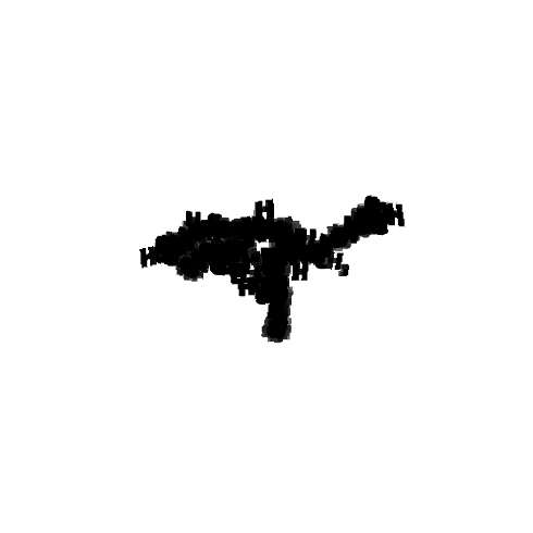 Cc1cc(Cc2nc(Cc3ccc(N=Nc4ccc(N=Nc5ccccc5)cc4S(=O)(=O)O)c(C)c3)nc(Nc3ccc(Nc4nc(Nc5ccc(N=Nc6ccc(N=Nc7ccc(S(=O)(=O)O)cc7)cc6)c(C)c5)nc(Nc5ccc(N=Nc6ccc(N=Nc7ccccc7)cc6S(=O)(=O)O)c(C)c5)n4)cc3)n2)ccc1N=Nc1ccc(N=Nc2ccc(S(=O)(=O)O)cc2)cc1